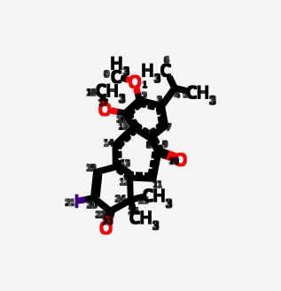 COc1c(C(C)C)cc2c(=O)cc3c(cc2c1OC)C=C(I)C(=O)C3(C)C